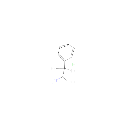 CCCCC(N)C(CC)(CC)c1ccccc1.Cl